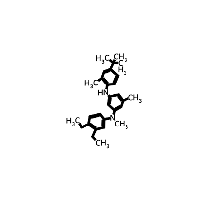 CCc1ccc(N(C)c2cc(C)cc(Nc3ccc(C(C)(C)C)cc3C)c2)cc1CC